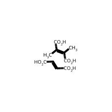 CC(C(=O)O)=C(C)C(=O)O.O=C(O)C=CC(=O)O